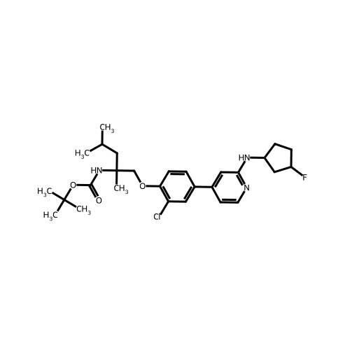 CC(C)CC(C)(COc1ccc(-c2ccnc(NC3CCC(F)C3)c2)cc1Cl)NC(=O)OC(C)(C)C